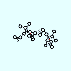 C1=CC(N(c2ccc(-c3cccc4sc5c(-c6ccc(-c7ccc(N(c8ccc(-c9ccc%10sc%11ccccc%11c%10c9)cc8)c8cc(-c9ccccc9)cc(-c9ccccc9)c8)cc7)c(-n7c8ccccc8c8ccccc87)c6)cccc5c34)cc2)c2cc(-c3ccccc3)cc(-c3ccccc3)c2)CC=C1c1ccccc1-n1c2ccccc2c2ccccc21